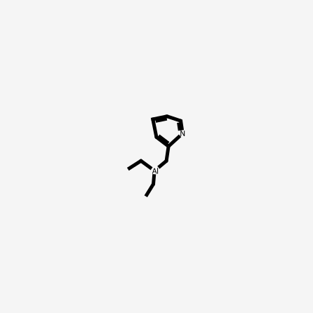 C[CH2][Al]([CH2]C)[CH2]c1ccccn1